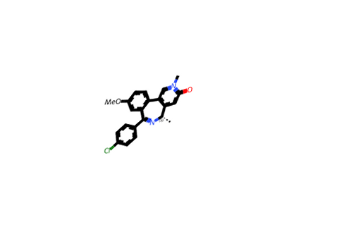 COc1ccc2c(c1)C(c1ccc(Cl)cc1)=N[C@@H](C)c1cc(=O)n(C)cc1-2